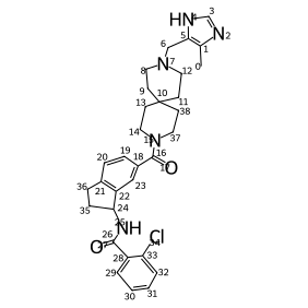 Cc1nc[nH]c1CN1CCC2(CC1)CCN(C(=O)c1ccc3c(c1)C(NC(=O)c1ccccc1Cl)CC3)CC2